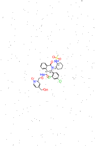 CS(=O)(=O)N[C@H]1CCCC[C@@H]1N1C(=O)c2ccccc2[C@@H](C(=O)NOCc2cc(CO)cc[n+]2[O-])[C@@H]1c1ccc(Cl)cc1Cl